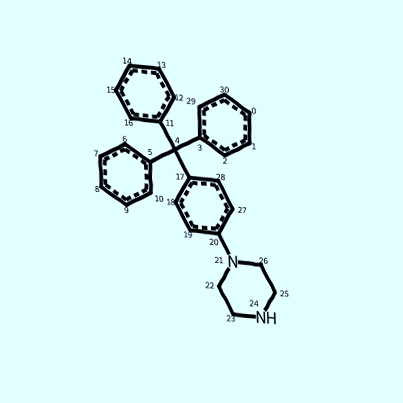 c1ccc(C(c2ccccc2)(c2ccccc2)c2ccc(N3CCNCC3)cc2)cc1